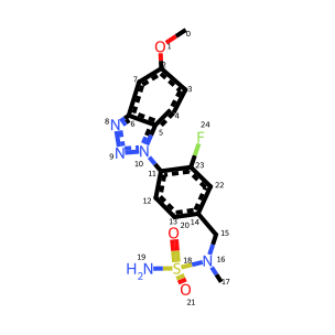 COc1ccc2c(c1)nnn2-c1ccc(CN(C)S(N)(=O)=O)cc1F